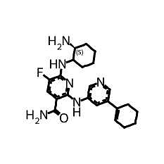 NC(=O)c1cc(F)c(NC2CCCC[C@@H]2N)nc1Nc1cncc(C2=CCCCC2)c1